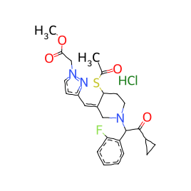 COC(=O)Cn1ccc(C=C2CN(C(C(=O)C3CC3)c3ccccc3F)CCC2SC(C)=O)n1.Cl